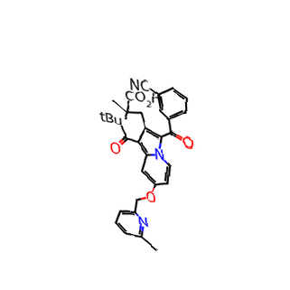 Cc1cccc(COc2ccn3c(C(=O)c4cccc(C#N)c4)c(CC(C)(C)C(=O)O)c(C(=O)C(C)(C)C)c3c2)n1